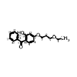 CCOCCCOc1ccc(C(=O)c2ccccc2)c(O)c1